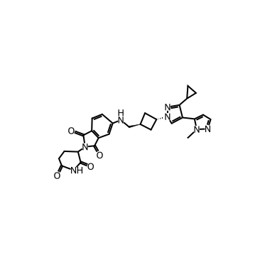 Cn1nccc1-c1cn([C@H]2C[C@H](CNc3ccc4c(c3)C(=O)N(C3CCC(=O)NC3=O)C4=O)C2)nc1C1CC1